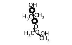 CC(O)COC(C)COc1ccc(C(C)(C)c2ccc(O)cc2)cc1